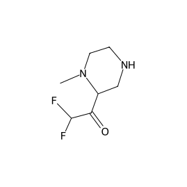 CN1CCNCC1C(=O)C(F)F